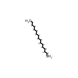 CCCCCCCCCCCCCCCC[SiH2]